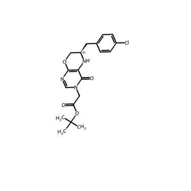 CC(C)(C)OC(=O)Cn1cnc2c(c1=O)N[C@H](Cc1ccc(Cl)cc1)CO2